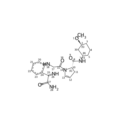 CO[C@H]1CCC[C@@H](NC(=O)[C@@H]2CC=CN2C(=O)CNc2ccccc2C(=N)C(N)=O)C1